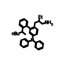 CCCCC(C)c1ccccc1-c1cc(N(c2ccccc2)c2ccccc2)ccc1CC(CC)CN